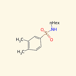 CCCCCCNS(=O)(=O)c1ccc(C)c(C)c1